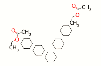 C1CCCCC1.C1CCCCC1.C1CCCCC1.C1CCCCC1.C1CCCCC1.CCOC(C)=O.CCOC(C)=O